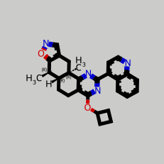 C[C@H]1c2oncc2C[C@@]2(C)c3nc(-c4ccnc5ccccc45)nc(OC4CCC4)c3CC[C@H]12